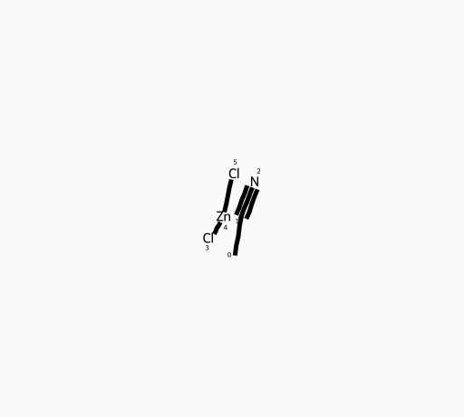 CC#N.[Cl][Zn][Cl]